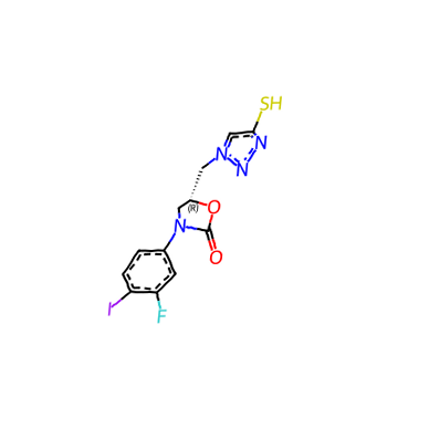 O=C1O[C@@H](Cn2cc(S)nn2)CN1c1ccc(I)c(F)c1